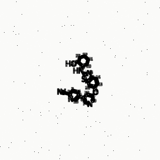 N#Cc1ccc(-c2cncc(Oc3ccc4nc(N[C@@H]5CCCC[C@H]5O)sc4c3)c2)cn1